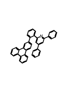 c1ccc(-c2cc(-c3ccccc3)nc(-c3ccccc3-c3ccc4c5ccccc5c5ccccc5c4c3)c2)cc1